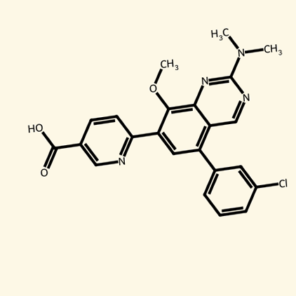 COc1c(-c2ccc(C(=O)O)cn2)cc(-c2cccc(Cl)c2)c2cnc(N(C)C)nc12